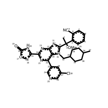 COC(C)(c1ccccc1C#N)c1nc2nc(-c3noc(=O)[nH]3)nc(-c3cncc(Cl)c3)c2n1CC1CCC(C)CC1